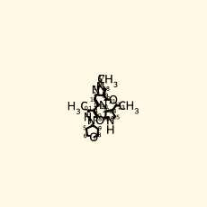 Cc1nn(C2CCOCC2)cc1-c1cc2nn(C)cc2c(OC(C)C2CNC(=O)C2)n1